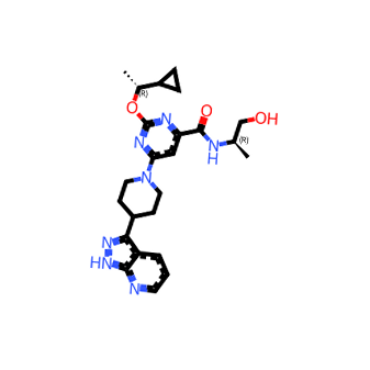 C[C@H](CO)NC(=O)c1cc(N2CCC(c3n[nH]c4ncccc34)CC2)nc(O[C@H](C)C2CC2)n1